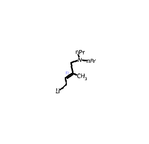 [Li][CH2]/C=C(\C)CN(CCC)CCC